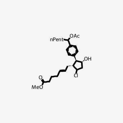 CCCCCC(OC(C)=O)c1ccc([C@H]2[C@H](O)CC(Cl)[C@@H]2CC=CCCCC(=O)OC)cc1